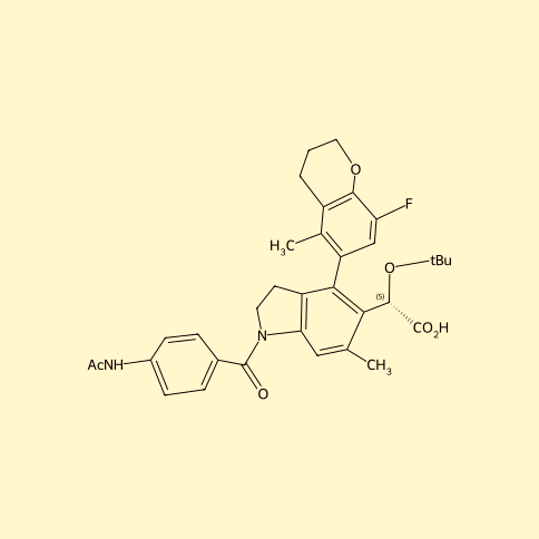 CC(=O)Nc1ccc(C(=O)N2CCc3c2cc(C)c([C@H](OC(C)(C)C)C(=O)O)c3-c2cc(F)c3c(c2C)CCCO3)cc1